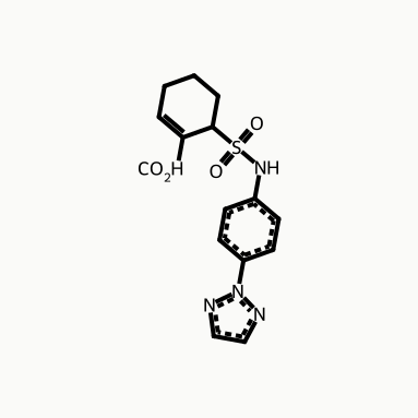 O=C(O)C1=CCCCC1S(=O)(=O)Nc1ccc(-n2nccn2)cc1